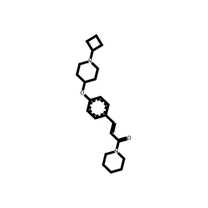 O=C(/C=C/c1ccc(OC2CCN(C3CCC3)CC2)cc1)N1CCCCC1